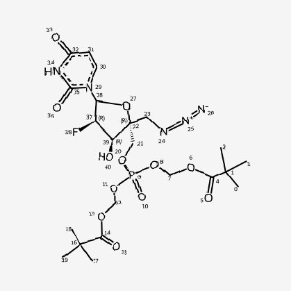 CC(C)(C)C(=O)OCOP(=O)(OCOC(=O)C(C)(C)C)OC[C@@]1(CN=[N+]=[N-])OC(n2ccc(=O)[nH]c2=O)[C@H](F)[C@@H]1O